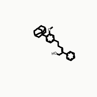 COc1cc(CC/C=C(\CO)c2ccccc2)ccc1C12CC3CC(CC(C3)C1)C2